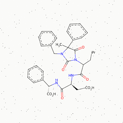 CC(C)CC(C(=O)N[C@@H](CC(=O)O)C(=O)N[C@H](C(=O)O)c1ccccc1)N1C(=O)N(Cc2ccccc2)C(C)(c2ccccc2)C1=O